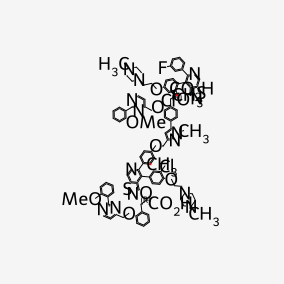 COc1ccccc1-c1nccc(COc2ccccc2C[C@@H](Oc2nsc3cnc(-c4ccc(OCc5cc(-c6ccc(C[C@@H](Oc7nsc8cnc(-c9cccc(F)c9)c(-c9ccc(OCCN%10CCN(C)CC%10)c(Cl)c9C)c78)C(=O)O)c(OCc7ccnc(-c8ccccc8OC)n7)c6)n(C)n5)cc4)c(-c4ccc(OCCN5CCN(C)CC5)c(Cl)c4C)c23)C(=O)O)n1